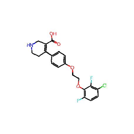 O=C(O)C1=C(c2ccc(OCCOc3c(F)ccc(Cl)c3F)cc2)CCNC1